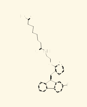 O=C(O)CCCCCCC(=O)NCCOc1ncccc1C=C1c2ccccc2-c2ccc(F)cc21